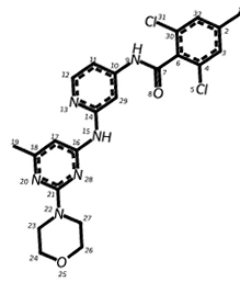 CCc1cc(Cl)c(C(=O)Nc2ccnc(Nc3cc(C)nc(N4CCOCC4)n3)c2)c(Cl)c1